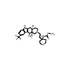 COC(=O)NC1(CCN2CC[C@@H]3Cc4[nH]c5ccc(C(F)(F)F)cc5c4[C@H](C)[C@H]3C2)CCOCC1